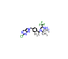 C=C(c1ccc(Cn2cc3cnc(Cl)nc3n2)cc1)N(/C=C(\N)C(F)(F)F)C(C)C